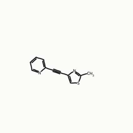 Cc1nc(C#Cc2ccccn2)cs1